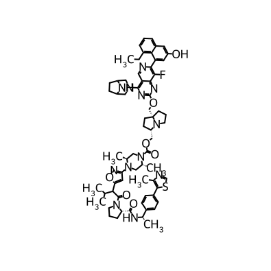 CCc1cccc2cc(O)cc(-c3ncc4c(N5CC6CCC(C5)N6)nc(OC[C@]56CCCN5[C@H](COC(=O)N5C[C@H](C)N(c7cc(C(C(=O)N8CCC[C@H]8C(=O)N[C@@H](C)c8ccc(-c9scnc9C)cc8)C(C)C)on7)C[C@H]5C)CC6)nc4c3F)c12